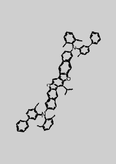 Cc1ccc(-c2ccccc2)cc1N(c1ccc2cc3c(cc2c1)oc1c(C(C)C)c2c(cc13)oc1cc3cc(N(c4cc(-c5ccccc5)ccc4C)c4c(C)cccc4C)ccc3cc12)c1c(C)cccc1C